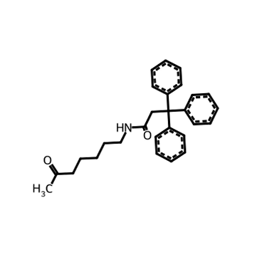 CC(=O)CCCCCNC(=O)CC(c1ccccc1)(c1ccccc1)c1ccccc1